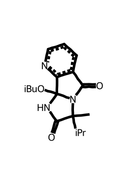 CC(C)COC12NC(=O)C(C)(C(C)C)N1C(=O)c1cccnc12